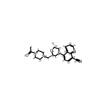 CC(=O)N1CCN(C[C@@H]2CN(c3ccc(C#N)c4ncccc34)C[C@@H](C)O2)CC1